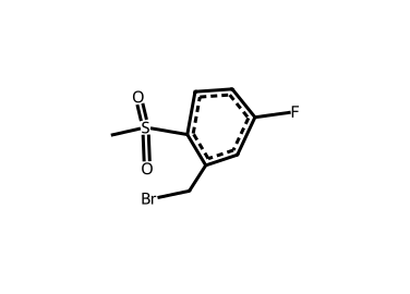 CS(=O)(=O)c1ccc(F)cc1CBr